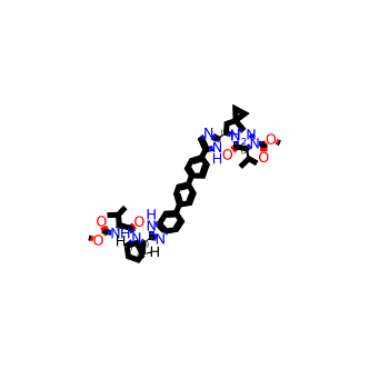 COC(=O)N[C@H](C(=O)N1[C@@H]2CC[C@@H](C2)[C@H]1c1nc2ccc(-c3ccc(-c4ccc(-c5cnc([C@@H]6CC7(CC7)CN6C(=O)[C@H](C(C)C)N(N)C(=O)OC)[nH]5)cc4)cc3)cc2[nH]1)C(C)C